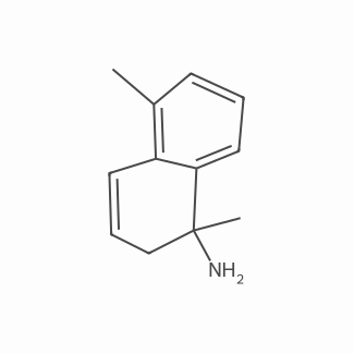 Cc1cccc2c1C=CCC2(C)N